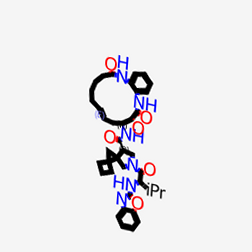 CC(C)C(Nc1nc2ccccc2o1)C(=O)N1C[C@H](C(=O)N[C@@H]2C/C=C/CCCCC(=O)Nc3ccccc3NC(=O)C2=O)C2(C1)CC21CCC1